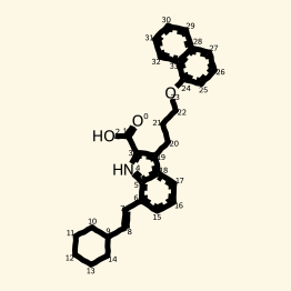 O=C(O)c1[nH]c2c(C=CC3CCCCC3)cccc2c1CCCOc1cccc2ccccc12